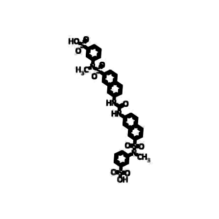 CN(c1cccc(S(=O)(=O)O)c1)S(=O)(=O)c1ccc2ccc(NC(=O)Nc3ccc4ccc(S(=O)(=O)N(C)c5cccc(S(=O)(=O)O)c5)cc4c3)cc2c1